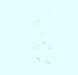 CC(c1ccc(N)cc1)[C@@]1(n2cnc3c(N)ncnc32)O[C@H](CO)[C@@H](O)[C@H]1O